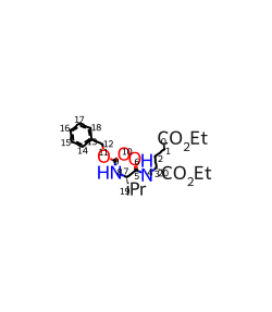 CCOC(=O)CC[C@@H](NC(=O)[C@@H](NC(=O)OCc1ccccc1)C(C)C)C(=O)OCC